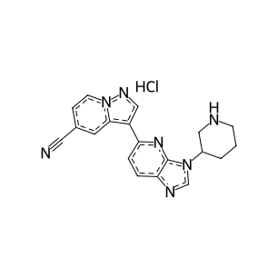 Cl.N#Cc1ccn2ncc(-c3ccc4ncn(C5CCCNC5)c4n3)c2c1